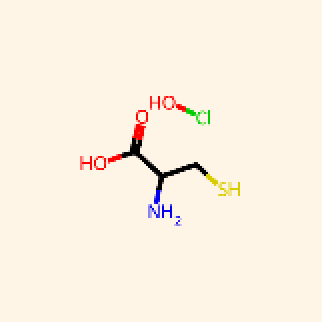 NC(CS)C(=O)O.OCl